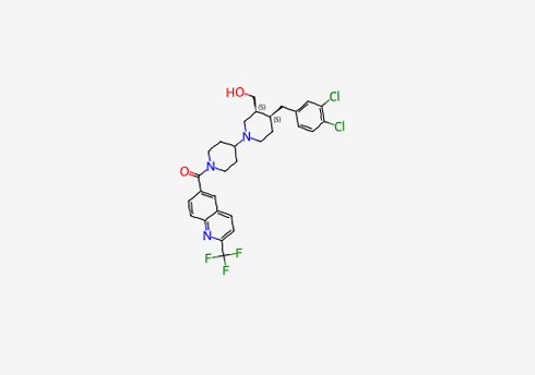 O=C(c1ccc2nc(C(F)(F)F)ccc2c1)N1CCC(N2CC[C@H](Cc3ccc(Cl)c(Cl)c3)[C@H](CO)C2)CC1